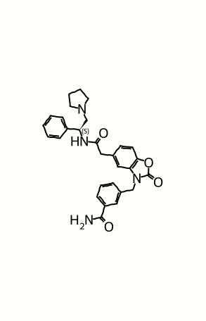 NC(=O)c1cccc(Cn2c(=O)oc3ccc(CC(=O)N[C@H](CN4CCCC4)c4ccccc4)cc32)c1